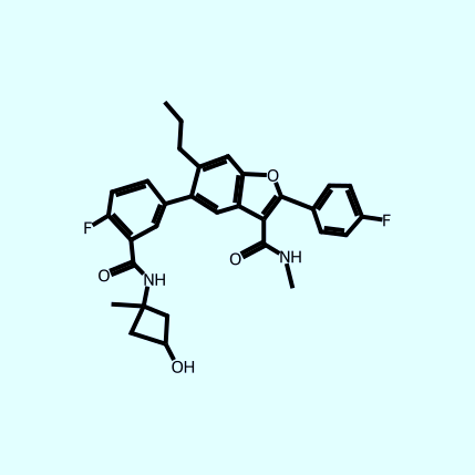 CCCc1cc2oc(-c3ccc(F)cc3)c(C(=O)NC)c2cc1-c1ccc(F)c(C(=O)NC2(C)CC(O)C2)c1